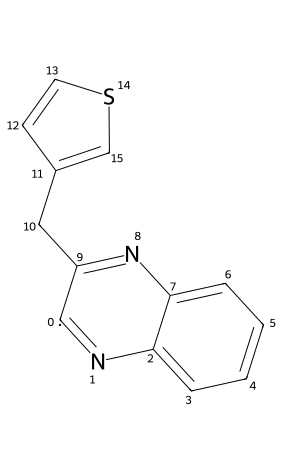 [c]1nc2ccccc2nc1Cc1ccsc1